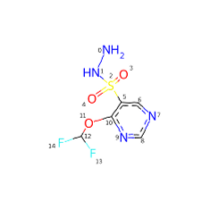 NNS(=O)(=O)c1cncnc1OC(F)F